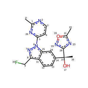 Cc1nccc(-n2nc(CF)c3ccc([C@@](C)(O)c4noc(C)n4)cc32)n1